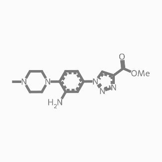 COC(=O)c1cn(-c2ccc(N3CCN(C)CC3)c(N)c2)nn1